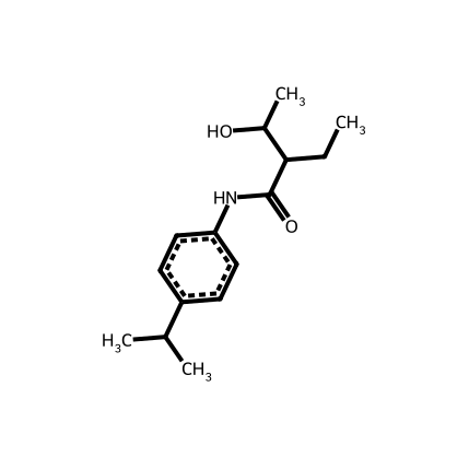 CCC(C(=O)Nc1ccc(C(C)C)cc1)C(C)O